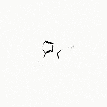 O.O=C(O)CC(=O)O.[Cd][c]1ccco1